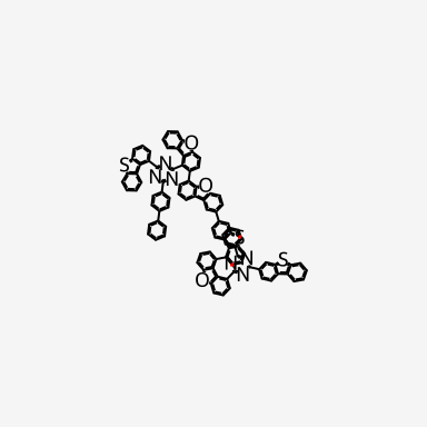 c1ccc(-c2ccc(-c3nc(-c4c(-c5cccc6c5oc5ccc(-c7ccc8c(c7)sc7cccc(-c9cccc%10oc%11cccc(-c%12nc(-c%13ccccc%13)nc(-c%13ccc%14c(c%13)sc%13ccccc%13%14)n%12)c%11c9%10)c78)cc56)ccc5oc6ccccc6c45)nc(-c4cccc5sc6ccccc6c45)n3)cc2)cc1